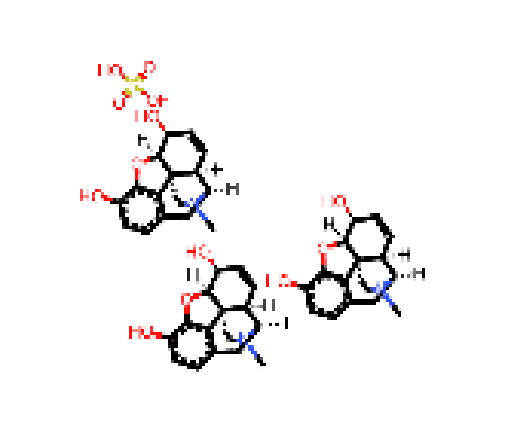 CN1CC[C@]23c4c5ccc(O)c4O[C@H]2[C@@H](O)C=C[C@H]3[C@H]1C5.CN1CC[C@]23c4c5ccc(O)c4O[C@H]2[C@@H](O)C=C[C@H]3[C@H]1C5.CN1CC[C@]23c4c5ccc(O)c4O[C@H]2[C@@H](O)C=C[C@H]3[C@H]1C5.O=S(=O)(O)O